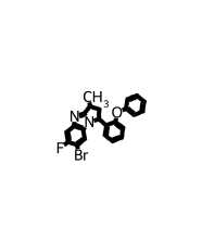 CC1CC(c2ccccc2Oc2ccccc2)n2c1nc1cc(F)c(Br)cc12